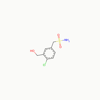 NS(=O)(=O)Cc1ccc(Cl)c(CO)c1